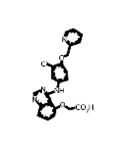 O=C(O)COc1cccc2ncnc(Nc3ccc(OCc4ccccn4)c(Cl)c3)c12